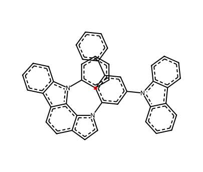 c1ccc(-c2cc(-n3ccc4ccc5c6ccccc6n(-c6ccccc6)c5c43)cc(-n3c4ccccc4c4ccccc43)c2)cc1